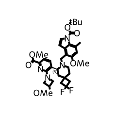 COC(=O)c1ccc([C@@H]2CC3(CCN2Cc2c(OC)cc(C)c4c2ccn4C(=O)OC(C)(C)C)CC(F)(F)C3)c(N2CC(OC)C2)n1